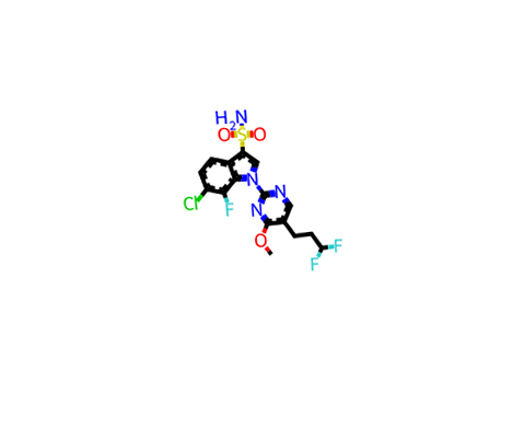 COc1nc(-n2cc(S(N)(=O)=O)c3ccc(Cl)c(F)c32)ncc1CCC(F)F